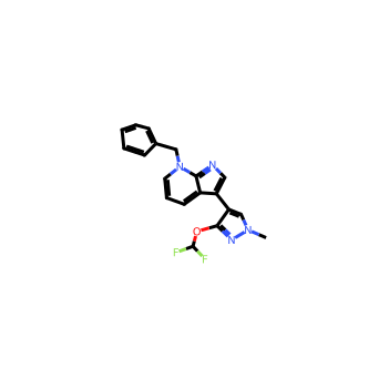 Cn1cc(-c2cnc3n(Cc4ccccc4)cccc2-3)c(OC(F)F)n1